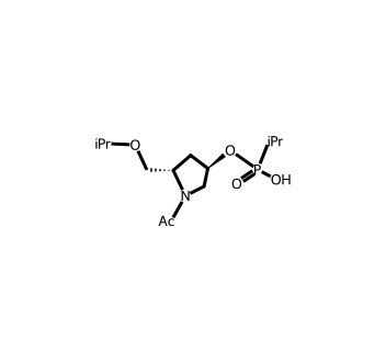 CC(=O)N1C[C@H](OP(=O)(O)C(C)C)C[C@H]1COC(C)C